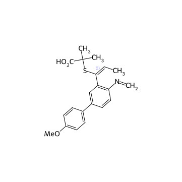 C=Nc1ccc(-c2ccc(OC)cc2)cc1/C(=C\C)SC(C)(C)C(=O)O